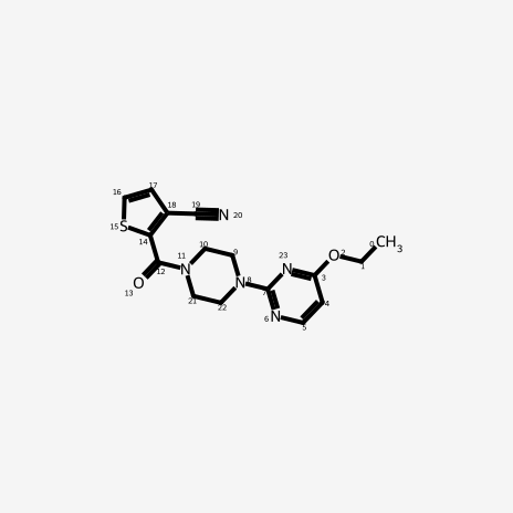 CCOc1ccnc(N2CCN(C(=O)c3sccc3C#N)CC2)n1